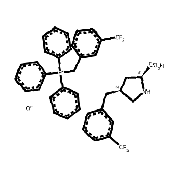 FC(F)(F)c1cccc(C[P+](c2ccccc2)(c2ccccc2)c2ccccc2)c1.O=C(O)[C@@H]1C[C@H](Cc2cccc(C(F)(F)F)c2)CN1.[Cl-]